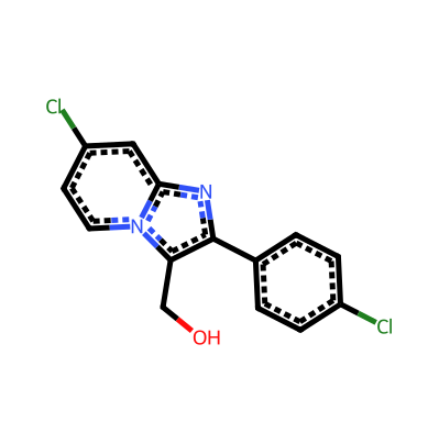 OCc1c(-c2ccc(Cl)cc2)nc2cc(Cl)ccn12